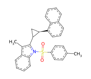 Cc1ccc(S(=O)(=O)n2c(C3C[C@H]3c3cccc4ccccc34)c(C)c3ccccc32)cc1